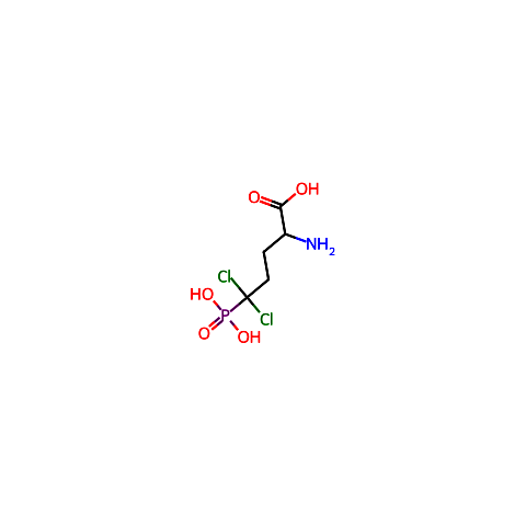 NC(CCC(Cl)(Cl)P(=O)(O)O)C(=O)O